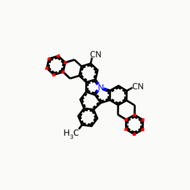 Cc1ccc2c(c1)cc1c3c4c(c(C#N)cc3n3c5cc(C#N)c6c(c5c2c13)C1c2ccccc2C6c2ccccc21)C1c2ccccc2C4c2ccccc21